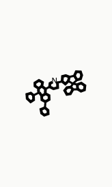 c1ccc(-c2ccc3c(-c4ccc(-c5ccc6c(c5)C5(c7ccccc7-c7ccccc75)c5ccccc5-6)nc4)c4ccccc4c(-c4ccccc4)c3c2)cc1